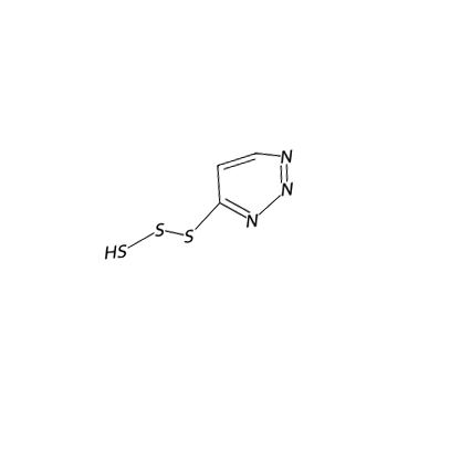 SSSc1ccnnn1